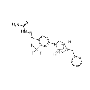 NC(=S)NN=Cc1ccc(N2C[C@@H]3C[C@H]2CN3Cc2ccccc2)cc1C(F)(F)F